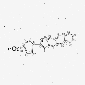 CCCCCCCCc1ccc(-c2cc3cc4cc5ccccc5cc4cc3s2)cc1